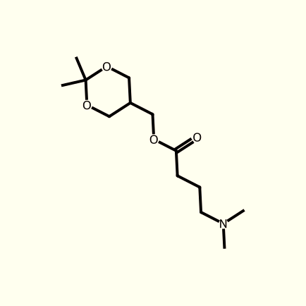 CN(C)CCCC(=O)OCC1COC(C)(C)OC1